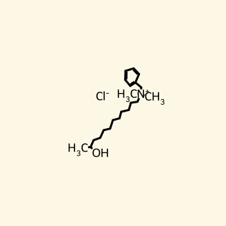 CC(O)CCCCCCCCCC[N+](C)(C)Cc1ccccc1.[Cl-]